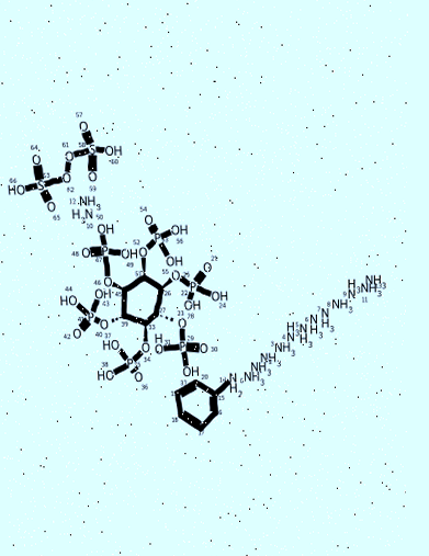 N.N.N.N.N.N.N.N.N.N.N.N.N.N.Nc1ccccc1.O=P(O)(O)O[C@H]1[C@H](OP(=O)(O)O)[C@@H](OP(=O)(O)O)[C@H](OP(=O)(O)O)[C@@H](OP(=O)(O)O)[C@H]1OP(=O)(O)O.O=S(=O)(O)OOS(=O)(=O)O